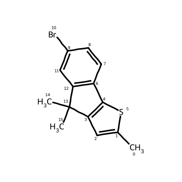 Cc1cc2c(s1)-c1ccc(Br)cc1C2(C)C